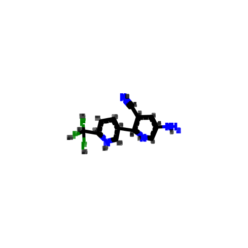 N#Cc1cc(N)cnc1-c1ccc(C(F)(F)F)nc1